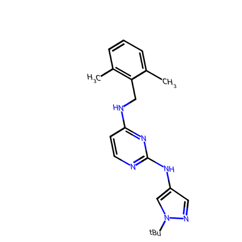 Cc1cccc(C)c1CNc1ccnc(Nc2cnn(C(C)(C)C)c2)n1